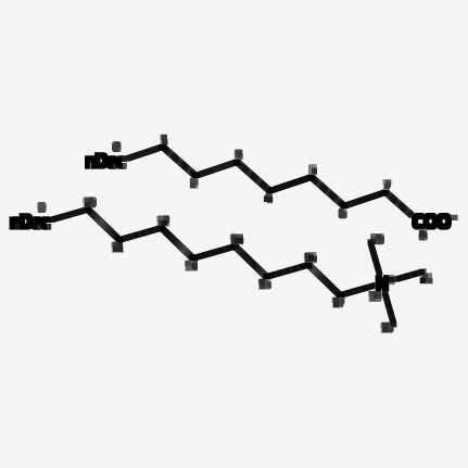 CCCCCCCCCCCCCCCCCC(=O)[O-].CCCCCCCCCCCCCCCCCC[N+](C)(C)C